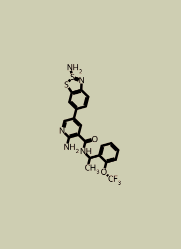 CC(NC(=O)c1cc(-c2ccc3c(c2)SS(N)=N3)cnc1N)c1ccccc1OC(F)(F)F